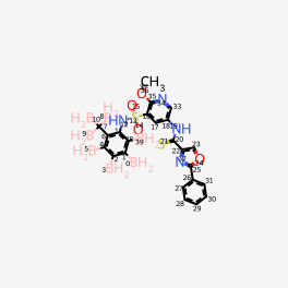 Bc1c(B)c(B)c(C(B)(B)B)c(NS(=O)(=O)c2cc(NC(=S)c3coc(-c4ccccc4)n3)cnc2OC)c1B